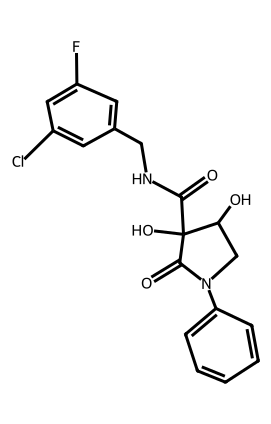 O=C(NCc1cc(F)cc(Cl)c1)C1(O)C(=O)N(c2ccccc2)CC1O